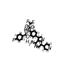 C[C@H](Oc1cc(-c2cnn3c(-c4ccncc4)cnc(N)c23)ccc1NS(=O)(=O)C(F)F)c1ccc(F)cc1